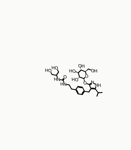 CC(C)c1[nH]nc(O[C@@H]2O[C@H](CO)[C@@H](O)[C@H](O)[C@H]2O)c1Cc1ccc(CCNC(=O)NC(CO)CO)cc1